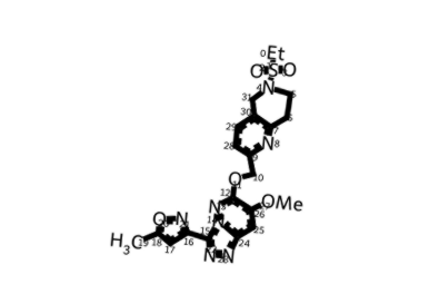 CCS(=O)(=O)N1CCc2nc(COc3nn4c(-c5cc(C)on5)nnc4cc3OC)ccc2C1